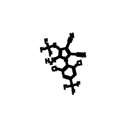 N#Cc1c(SC(F)(F)F)c(N)n(-c2c(Cl)cc(C(F)(F)F)cc2Cl)c1C#N